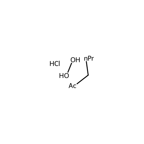 CCCCC(C)=O.Cl.OO